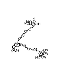 COc1ccc(CN(CCOCCOCCOCCOCCN2C[C@H](O)[C@@H](O)[C@H](O)[C@H]2CO)CCOCCOCCOCCOCCN2C[C@H](O)[C@@H](O)[C@H](O)[C@H]2CO)c(OC)c1